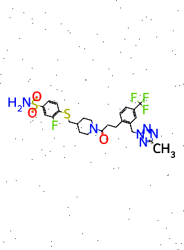 Cc1nnn(Cc2cc(C(F)(F)F)ccc2CCC(=O)N2CCC(CSc3ccc(S(N)(=O)=O)cc3F)CC2)n1